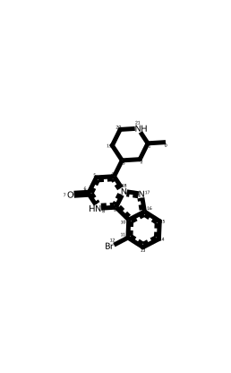 CC1CC(c2cc(=O)[nH]c3c4c(Br)cccc4nn23)CCN1